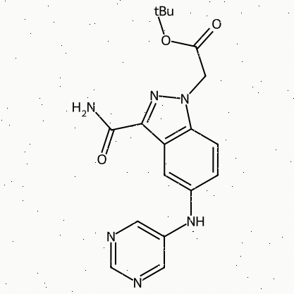 CC(C)(C)OC(=O)Cn1nc(C(N)=O)c2cc(Nc3cncnc3)ccc21